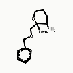 COC1(COCc2ccccc2)OCCCC1N